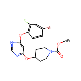 CC(C)OC(=O)N1CCC(Oc2cc(Oc3ccc(Br)cc3F)ncn2)CC1